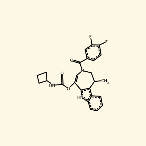 CC1CN(C(=O)c2ccc(F)c(F)c2)C=C(OC(=O)NC2CCC2)c2[nH]c3ccccc3c21